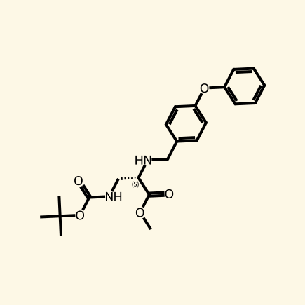 COC(=O)[C@H](CNC(=O)OC(C)(C)C)NCc1ccc(Oc2ccccc2)cc1